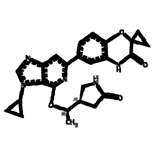 C[C@@H](Oc1nc(-c2ccc3c(c2)NC(=O)C2(CC2)O3)cc2ncn(C3CC3)c12)[C@H]1CNC(=O)C1